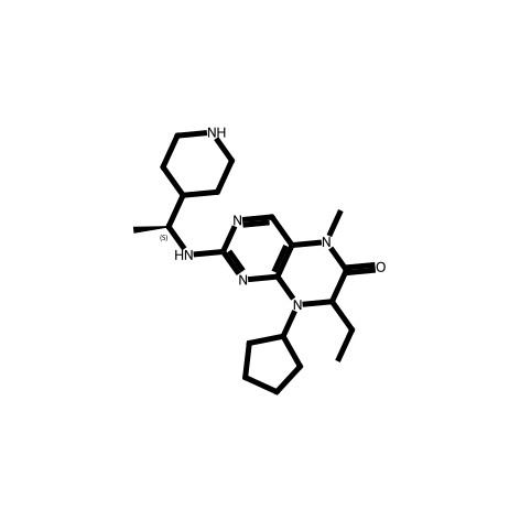 CCC1C(=O)N(C)c2cnc(N[C@@H](C)C3CCNCC3)nc2N1C1CCCC1